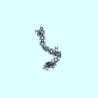 Cc1cc(-c2ncnc3[nH]c(-c4ccc(N5CCN(CC6CCN(c7ccc(N8CCC(=O)NC8=O)cc7)CC6)CC5)cn4)nc23)ccc1C(C)NC(=O)c1nc(C(C)(C)C)no1